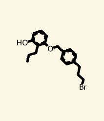 CCCc1c(O)[c]ccc1OCc1ccc(CCCBr)cc1